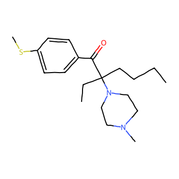 CCCCC(CC)(C(=O)c1ccc(SC)cc1)N1CCN(C)CC1